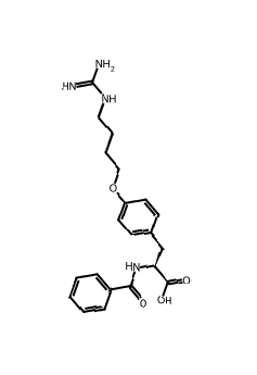 N=C(N)NCCCCOc1ccc(C[C@H](NC(=O)c2ccccc2)C(=O)O)cc1